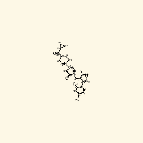 Cc1nnn(-c2ccc(Cl)cc2F)c1Cn1ncc(N2CCN(C(=O)C3CC3)CC2)cc1=O